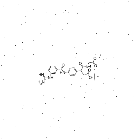 CCOC(=O)CNC(=O)C(CC(=O)OC(C)(C)C)c1ccc(NC(=O)c2cccc(NC(=N)N)c2)cc1